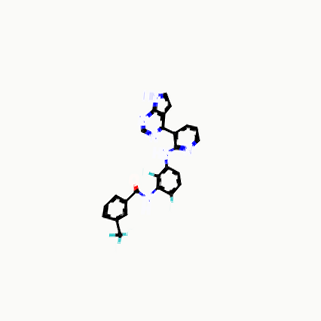 O=C(Nc1c(F)ccc(Nc2ncccc2-c2ncnc3[nH]ccc23)c1F)c1cccc(C(F)(F)F)c1